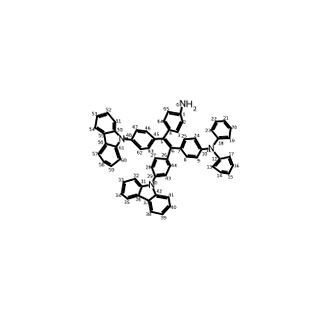 Nc1ccc(C(=C(c2ccc(N(c3ccccc3)c3ccccc3)cc2)c2ccc(-n3c4ccccc4c4ccccc43)cc2)c2ccc(-n3c4ccccc4c4ccccc43)cc2)cc1